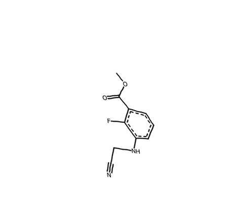 COC(=O)c1cccc(NCC#N)c1F